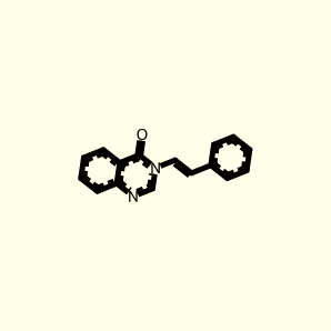 O=c1c2ccccc2ncn1C=Cc1ccccc1